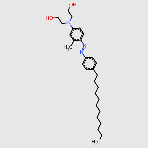 CCCCCCCCCCCCc1ccc(N=Nc2ccc(N(CCO)CCO)cc2C)cc1